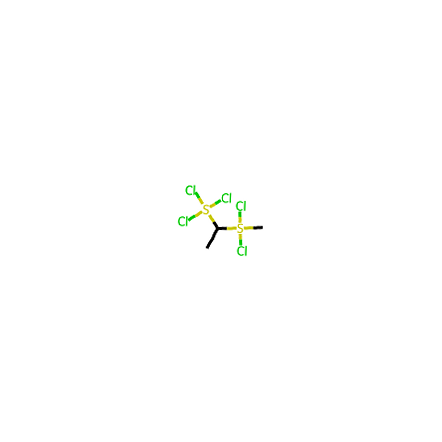 CC(S(C)(Cl)Cl)S(Cl)(Cl)Cl